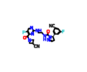 N#Cc1cc(F)cc([C@@H]2CC=NN2C(=O)NCCNc2ncc(F)c(C(=O)N3CC(C#N)C3)n2)c1